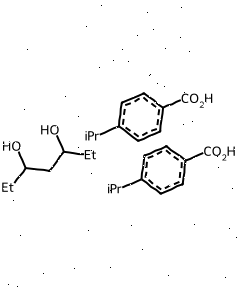 CC(C)c1ccc(C(=O)O)cc1.CC(C)c1ccc(C(=O)O)cc1.CCC(O)CC(O)CC